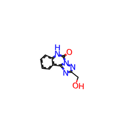 O=c1[nH]c2ccccc2c2nc(CO)nn12